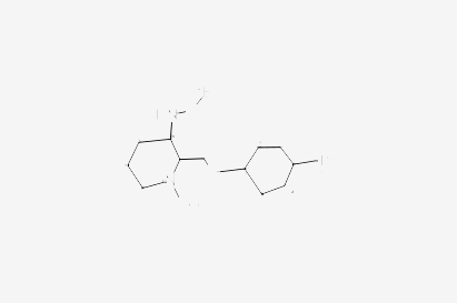 CCOC(=O)N1CCCC(NSCC)C1COC1CCC(C(C)C)CC1